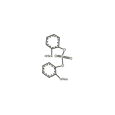 CCCCCCc1ccccc1OS(=O)(=O)Oc1ccccc1CCCCCC